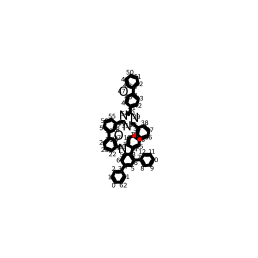 c1ccc(-c2cc(-c3ccccc3)c3c4ccccc4n(-c4cccc5c4oc4c(-c6nc(-c7ccccc7)nc(-c7ccc8c(c7)oc7ccccc78)n6)cccc45)c3c2)cc1